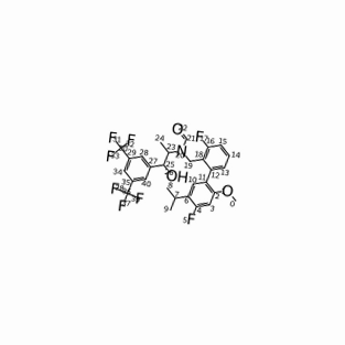 COc1cc(F)c(C(C)C)cc1-c1cccc(F)c1CN(C=O)C(C)C(O)c1cc(C(F)(F)F)cc(C(F)(F)F)c1